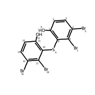 Oc1ccc(Br)c(Br)c1Sc1c(O)ccc(Br)c1Br